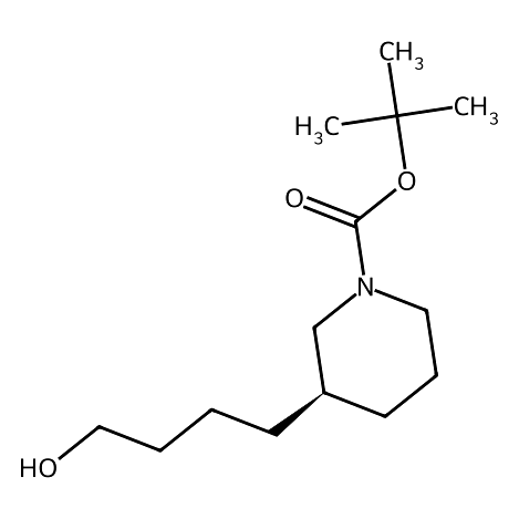 CC(C)(C)OC(=O)N1CCC[C@@H](CCCCO)C1